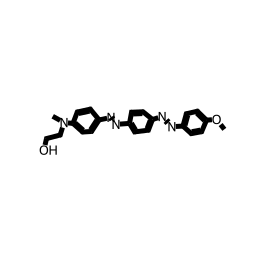 COc1ccc(N=Nc2ccc(N=Nc3ccc(N(C)CCO)cc3)cc2)cc1